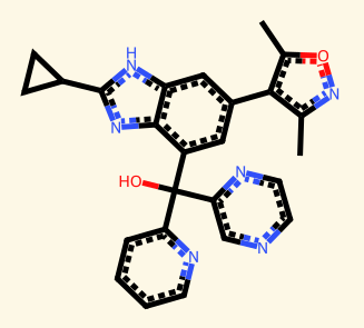 Cc1noc(C)c1-c1cc(C(O)(c2ccccn2)c2cnccn2)c2nc(C3CC3)[nH]c2c1